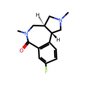 CN1C[C@@H]2CN(C)C(=O)c3cc(F)ccc3[C@H]2C1